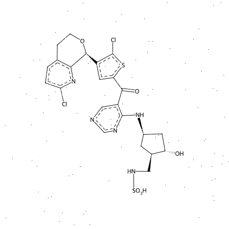 O=C(c1cc([C@@H]2OCCc3ccc(Cl)nc32)c(Cl)s1)c1cncnc1N[C@H]1C[C@H](O)[C@@H]([CH]NS(=O)(=O)O)C1